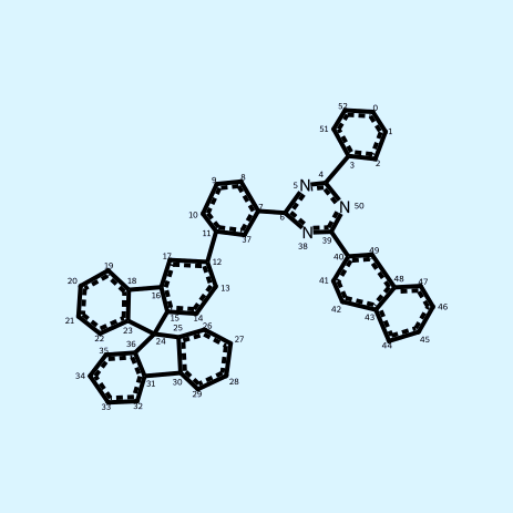 c1ccc(-c2nc(-c3cccc(-c4ccc5c(c4)-c4ccccc4C54c5ccccc5-c5ccccc54)c3)nc(-c3ccc4ccccc4c3)n2)cc1